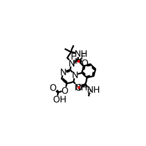 CNC(=O)c1cccc(C(F)(F)F)c1N1C(N2CC(C)(C)NC2=O)=NC=C(OC(=O)O)C1N